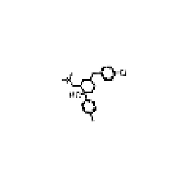 Cc1ccc(C2(O)CCC(Cc3ccc(Cl)cc3)CC2CN(C)C)cc1